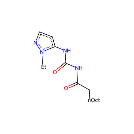 CCCCCCCCCC(=O)NC(=O)Nc1ccnn1CC